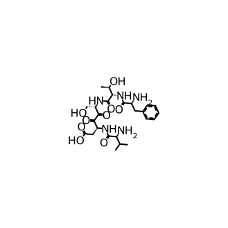 CC(C)[C@H](N)C(=O)N[C@@H](CC(=O)O)C(=O)C(=O)[C@H](CO)NC(=O)[C@@H](NC(=O)[C@@H](N)Cc1ccccc1)[C@@H](C)O